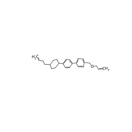 C=CCCC1CCC(c2ccc(-c3ccc(COCC=C)cc3)cc2)CC1